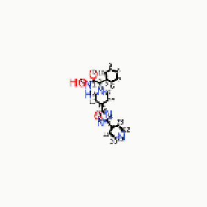 O=C(NO)C(c1ccccc1)N1CCC(c2nc(-c3ccncc3)no2)CC1